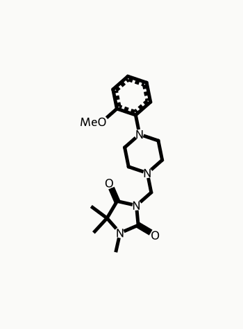 COc1ccccc1N1CCN(CN2C(=O)N(C)C(C)(C)C2=O)CC1